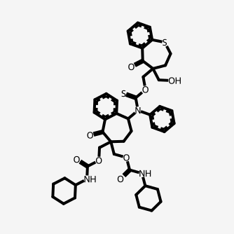 O=C(NC1CCCCC1)OCC1(COC(=O)NC2CCCCC2)CCC(N(C(=S)OCC2(CO)CCSc3ccccc3C2=O)c2ccccc2)c2ccccc2C1=O